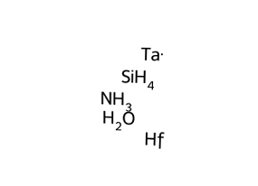 N.O.[Hf].[SiH4].[Ta]